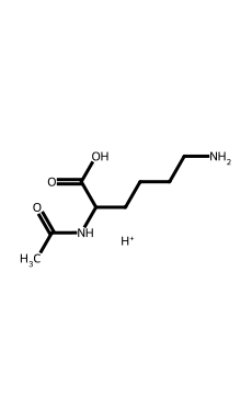 CC(=O)NC(CCCCN)C(=O)O.[H+]